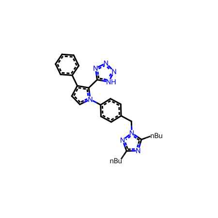 CCCCc1nc(CCCC)n(Cc2ccc(-n3ccc(-c4ccccc4)c3-c3nnn[nH]3)cc2)n1